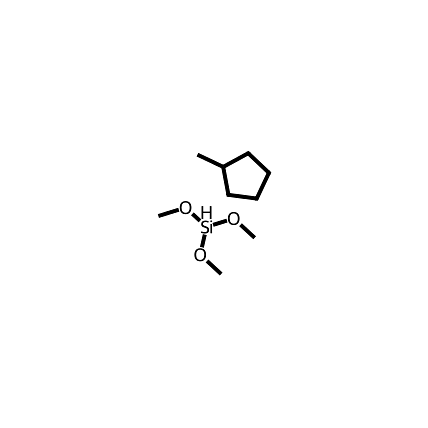 CC1CCCC1.CO[SiH](OC)OC